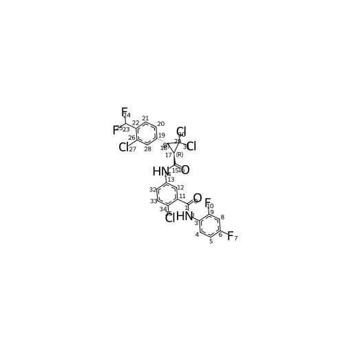 O=C(Nc1ccc(F)cc1F)c1cc(NC(=O)[C@H]2[C@H](c3ccc(C(F)F)c(Cl)c3)C2(Cl)Cl)ccc1Cl